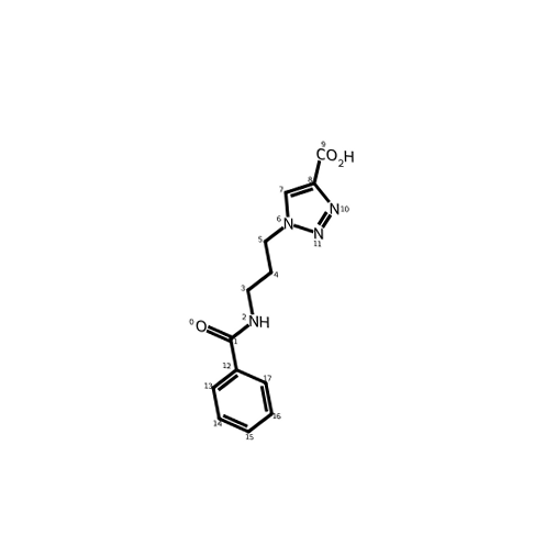 O=C(NCCCn1cc(C(=O)O)nn1)c1ccccc1